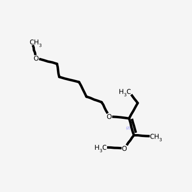 CC/C(OCCCCCOC)=C(\C)OC